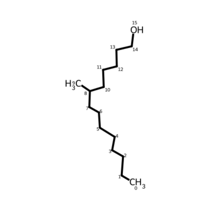 CCCCCCCCC(C)CCCCCO